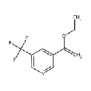 C=C(OCC)c1cncc(C(F)(F)F)c1